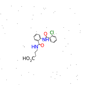 O=C(O)CCCNC(=O)c1ccccc1NC(=O)c1ccccc1Cl